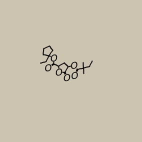 CCC1(OC(=O)C2CC(OC(=O)C(C)(C)CC)C(=O)O2)CCCC1